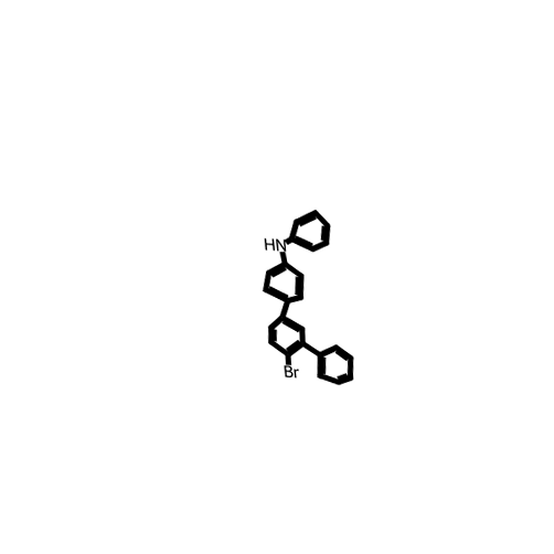 Brc1ccc(-c2ccc(Nc3ccccc3)cc2)cc1-c1ccccc1